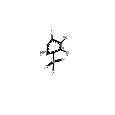 O=S(=O)([O-])c1ccc(Cl)c(Cl)c1Cl.[Na+]